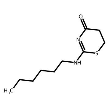 CCCCCCNC1=NC(=O)CCS1